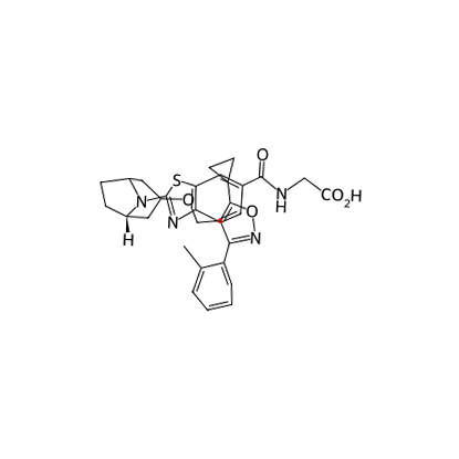 Cc1ccccc1-c1noc(C2CC2)c1COC1CC2CC[C@@H](C1)N2c1nc2ccc(C(=O)NCC(=O)O)cc2s1